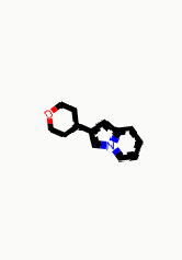 c1ccn2cc(C3CCOCC3)cc2c1